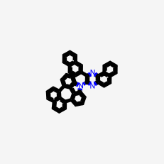 c1ccc2cc(-c3nc4c(ccc5ccccc54)nc3-n3c4cccc5c4c4c(cccc43)-c3cccc4cccc-5c34)ccc2c1